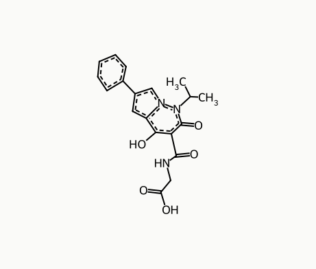 CC(C)n1c(=O)c(C(=O)NCC(=O)O)c(O)c2cc(-c3ccccc3)cn21